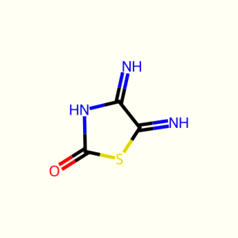 N=C1NC(=O)SC1=N